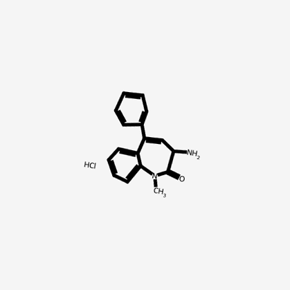 CN1C(=O)C(N)C=C(c2ccccc2)c2ccccc21.Cl